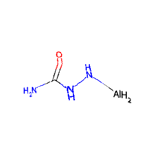 NC(=O)N[NH][AlH2]